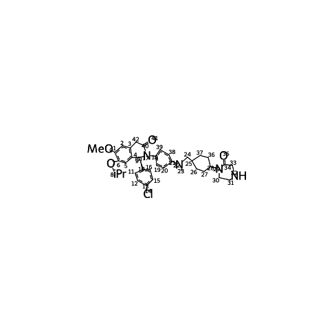 COc1cc2c(cc1OC(C)C)[C@H](c1ccc(Cl)cc1)N(c1ccc(N(C)CC3CCC(N4CCNCC4=O)CC3)cc1)C(=O)C2